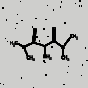 CN(C)C(=O)C(N)C(=O)N(C)C